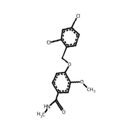 CNC(=O)c1ccc(OCc2ccc(Cl)cc2Cl)c(OC)c1